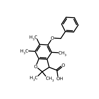 Cc1c(C)c2c(c(C)c1OCc1ccccc1)C(C(=O)O)C(C)(C)O2